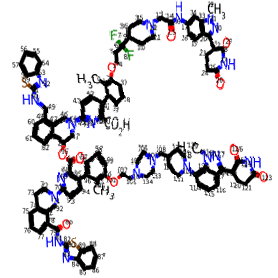 Cc1c(OCCC(F)(F)C2CCN(CC(=O)Nc3ccc4c(C5CCC(=O)NC5=O)nn(C)c4c3)CC2)cccc1-c1ccc(N2Cc3c(CNc4nc5ccccc5s4)cccc3C(OC(=O)c3nc(N4CCc5cccc(C(=O)Nc6nc7ccccc7s6)c5C4)ccc3-c3cccc(OCCN4CCN(CC5CCN(c6cccc7c(C8CCC(=O)NC8=O)nn(C)c67)CC5)CC4)c3C)C2)nc1C(=O)O